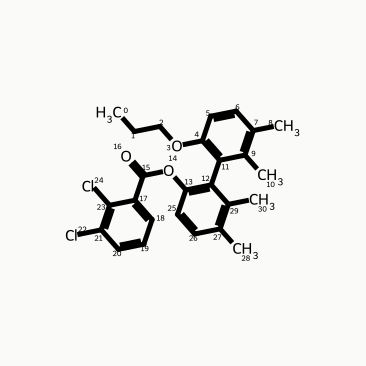 CCCOc1ccc(C)c(C)c1-c1c(OC(=O)c2cccc(Cl)c2Cl)ccc(C)c1C